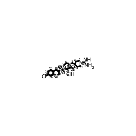 Cl.N=C(N)N1CCC(O)(CN2CCN(S(=O)(=O)C3=Cc4ccc(Cl)cc4OC3)CC2=O)CC1